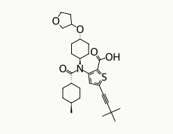 CC(C)(C)C#Cc1cc(N(C(=O)[C@H]2CC[C@H](C)CC2)[C@H]2CC[C@H](OC3CCOC3)CC2)c(C(=O)O)s1